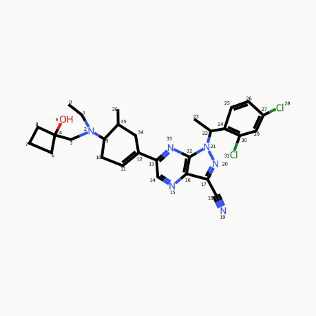 CCN(CC1(O)CCC1)C1CC=C(c2cnc3c(C#N)nn(C(C)c4ccc(Cl)cc4Cl)c3n2)CC1C